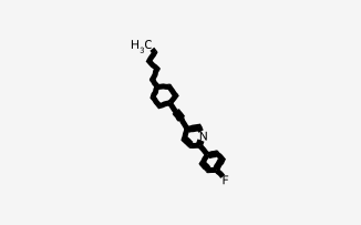 CCCCCC1CCC(C#Cc2ccc(-c3ccc(F)cc3)nc2)CC1